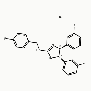 Cl.Fc1ccc(CNC2=N[C@@H](c3cccc(F)c3)[C@@H](c3cccc(F)c3)N2)cc1